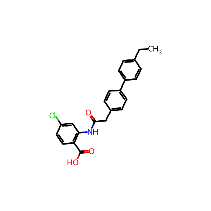 CCc1ccc(-c2ccc(CC(=O)Nc3cc(Cl)ccc3C(=O)O)cc2)cc1